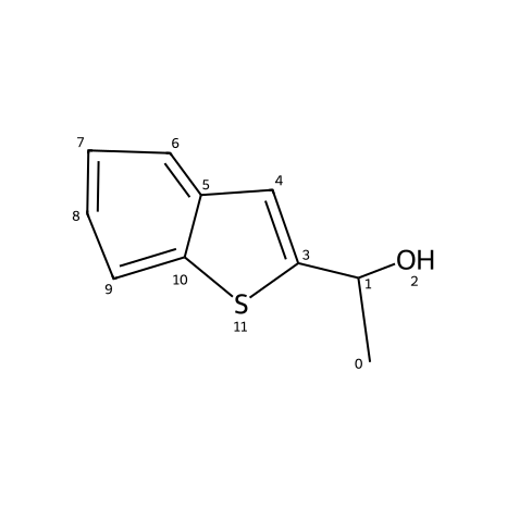 CC(O)c1cc2ccccc2s1